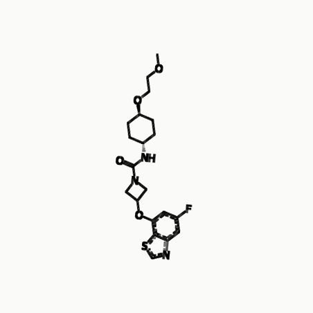 COCCO[C@H]1CC[C@H](NC(=O)N2CC(Oc3cc(F)cc4ncsc34)C2)CC1